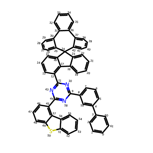 c1ccc(-c2cccc(-c3nc(-c4cccc5c4-c4ccccc4C54c5ccccc5-c5ccccc5-c5ccccc54)nc(-c4cccc5sc6ccccc6c45)n3)c2)cc1